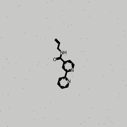 C=CCNC(=O)c1ccnc(-c2ccccn2)c1